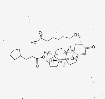 CCCCCCC(=O)O.C[C@]12CC[C@H]3[C@@H](CCC4=CC(=O)CC[C@@]43C)[C@@H]1CC[C@@H]2OC(=O)CCC1CCCC1